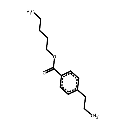 [CH2]CCc1ccc(C(=O)OCCCCC)cc1